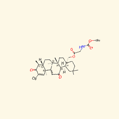 [C-]#[N+]C1=C[C@]2(C)C3=CC(=O)[C@@H]4[C@@H]5CC(C)(C)CC[C@]5(COC(=O)CNC(=O)OC(C)(C)C)CC[C@@]4(C)[C@]3(C)CC[C@H]2[C@H](C)C1=O